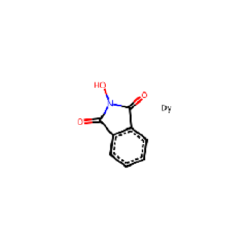 O=C1c2ccccc2C(=O)N1O.[Dy]